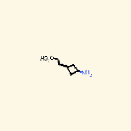 NC1CC(=CCC(=O)O)C1